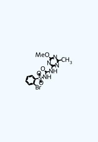 COc1nc(C)nc(NC(=O)NS(=O)(=O)c2ccccc2Br)n1